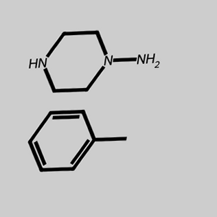 Cc1ccccc1.NN1CCNCC1